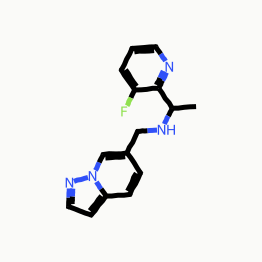 CC(NCc1ccc2ccnn2c1)c1ncccc1F